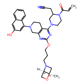 C=CC(=O)N1CCN(c2nc(OCCCN3C[C@@]4(C)OC[C@@H]34)nc3c2CCN(c2cc(O)cc4ccccc24)C3)CC1CC#N